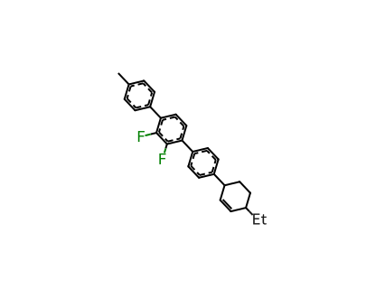 CCC1C=CC(c2ccc(-c3ccc(-c4ccc(C)cc4)c(F)c3F)cc2)CC1